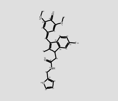 COC1=CC(=CC2=C(C)C(CC(=O)NCc3ccco3)c3cc(F)ccc32)C=C(OC)C1=O